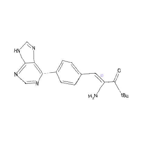 CC(C)(C)C(=O)/C(N)=C/c1ccc(-c2ncnc3[nH]cnc23)cc1